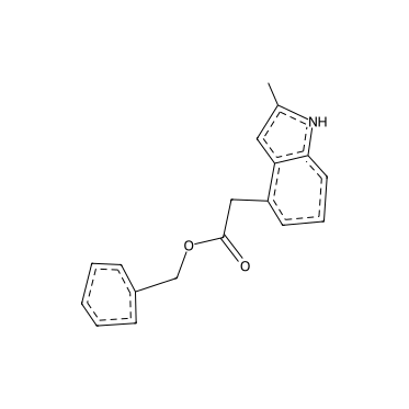 Cc1cc2c(CC(=O)OCc3ccccc3)cccc2[nH]1